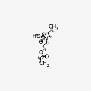 C=CC(=O)OCCCN(CCCC)S(=O)(=O)O